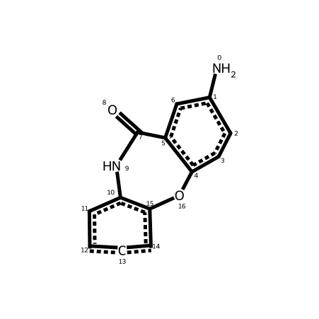 Nc1ccc2c(c1)C(=O)Nc1ccccc1O2